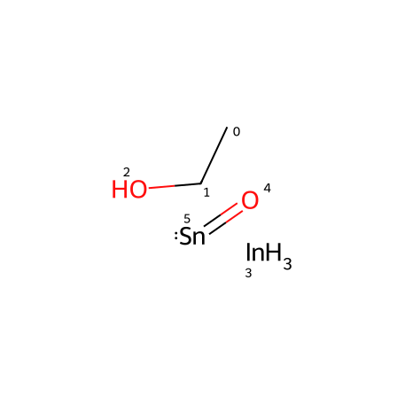 CCO.[InH3].[O]=[Sn]